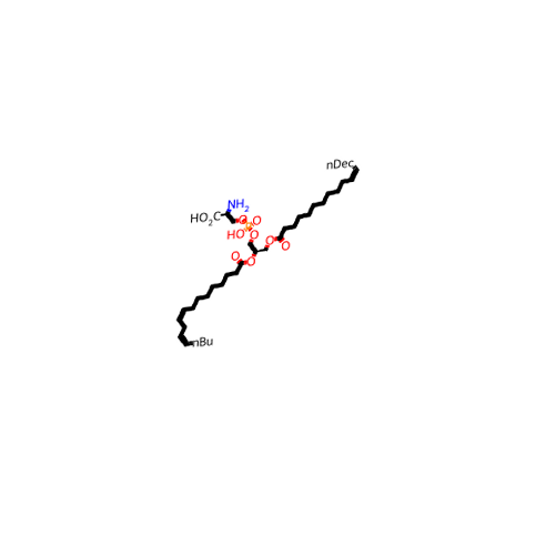 CCCC/C=C\C/C=C\CCCCCCCC(=O)O[C@H](COC(=O)CCCCCCCCC/C=C\CCCCCCCCCC)COP(=O)(O)OC[C@H](N)C(=O)O